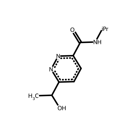 CC(C)NC(=O)c1ccc(C(C)O)nn1